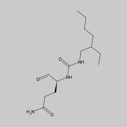 CCCCC(CC)CNC(=O)N[C@H](C=O)CCC(N)=O